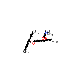 CCCCCCCCC(CCCCCCCC)COC(=O)CCCCCCC(CCCCCCC)OC(=O)CCCN(C)C